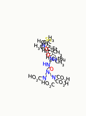 CCC(C)(CC(C(=O)N(C)C)C(C)(C)S)C(C)(C)C(CC(C)(C)C(C)(C)C)C(=O)NCCNC(=O)CN(CCN(CC(=O)O)CC(=O)O)CCN(CC(=O)O)CC(=O)O